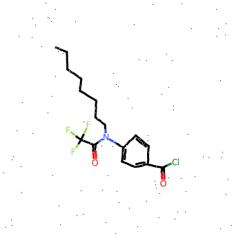 CCCCCCCCN(C(=O)C(F)(F)F)c1ccc(C(=O)Cl)cc1